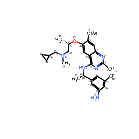 COc1cc2nc(C)nc(N[C@H](C)c3cc(N)cc(C(F)(F)F)c3)c2cc1O[C@@H](C)CN(C)CC1CC1